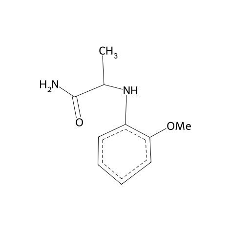 COc1ccccc1NC(C)C(N)=O